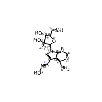 CC1(O)C(n2cc(/C=N/O)c3c(N)ncnc32)OC(CO)[C@H]1O